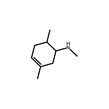 CNC1CC(C)=CCC1C